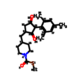 CCSC(=O)N1CCC(CC2CC(=O)C(c3c(C)cc(C)cc3C)C2=O)CC1